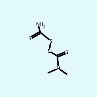 CN(C)C(=S)SSC(N)=S